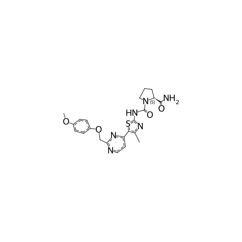 COc1ccc(OCc2nccc(-c3sc(NC(=O)N4CCC[C@H]4C(N)=O)nc3C)n2)cc1